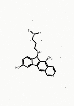 CCN(CC)CCCNn1c2ccc(O)cc2c2cc3cnccc3c(C)c21